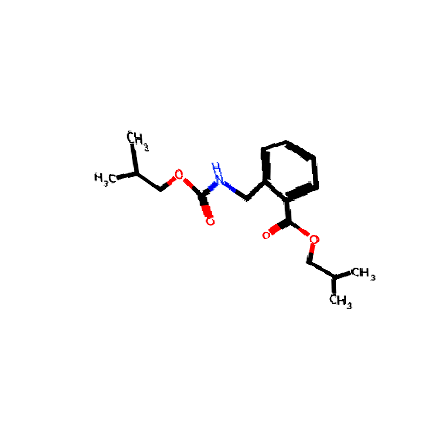 CC(C)COC(=O)NCc1ccccc1C(=O)OCC(C)C